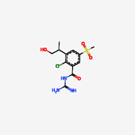 CC(CO)c1cc(S(C)(=O)=O)cc(C(=O)NC(=N)N)c1Cl